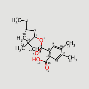 CCCCC(OC(=O)c1cc(C)c(C)cc1C(=O)O)C(C)(C)C